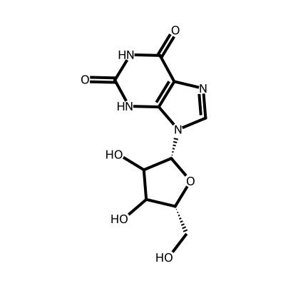 O=c1[nH]c(=O)c2ncn([C@@H]3O[C@H](CO)C(O)C3O)c2[nH]1